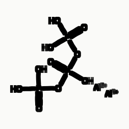 O=P(O)(O)OP(=O)(O)OP(=O)(O)O.[Al+3].[Al+3]